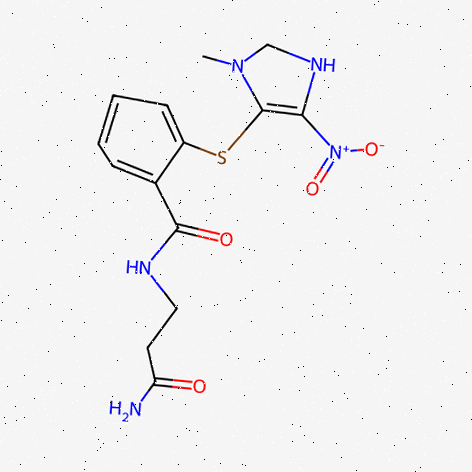 CN1CNC([N+](=O)[O-])=C1Sc1ccccc1C(=O)NCCC(N)=O